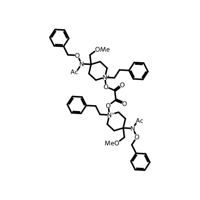 COCC1(N(OCc2ccccc2)C(C)=O)CC[N+](CCc2ccccc2)(OC(=O)C(=O)O[N+]2(CCc3ccccc3)CCC(COC)(N(OCc3ccccc3)C(C)=O)CC2)CC1